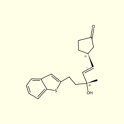 C[C@](O)(/C=C/[C@H]1CCC(=O)C1)CCc1cc2ccccc2s1